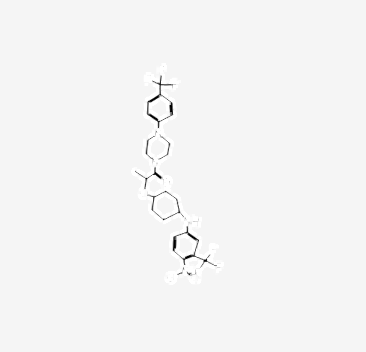 CC(OC1CCC(Nc2ccc([N+](=O)[O-])c(C(F)(F)F)c2)CC1)C(=O)N1CCN(c2ccc(C(F)(F)F)cc2)CC1